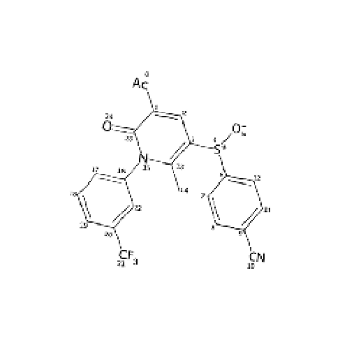 CC(=O)c1cc([S+]([O-])c2ccc(C#N)cc2)c(C)n(-c2cccc(C(F)(F)F)c2)c1=O